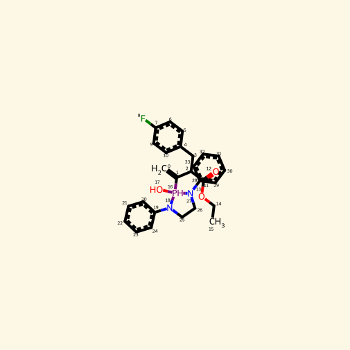 C=C(C(Cc1ccc(F)cc1)C(=O)OCC)[PH]1(O)N(c2ccccc2)CCN1c1ccccc1